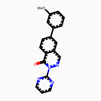 COc1cccc(-c2ccc3c(=O)n(-c4ncccn4)ncc3c2)c1